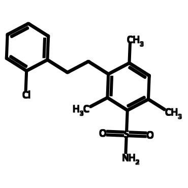 Cc1cc(C)c(S(N)(=O)=O)c(C)c1CCc1ccccc1Cl